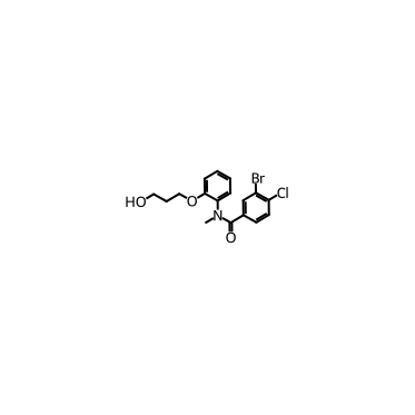 CN(C(=O)c1ccc(Cl)c(Br)c1)c1ccccc1OCCCO